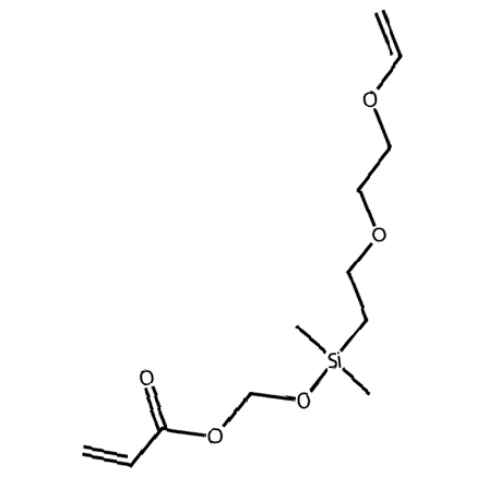 C=COCCOCC[Si](C)(C)OCOC(=O)C=C